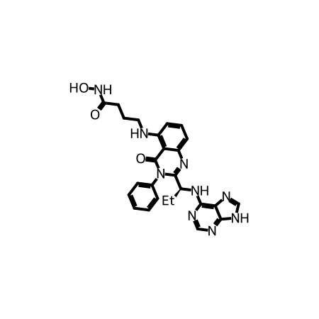 CC[C@H](Nc1ncnc2[nH]cnc12)c1nc2cccc(NCCCC(=O)NO)c2c(=O)n1-c1ccccc1